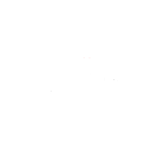 C=C(C)COC(O)CCCC